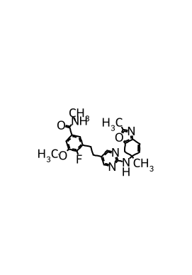 CNC(=O)c1cc(CCc2cnc(NC3(C)C=Cc4nc(C)oc4C3)nc2)c(F)c(OC)c1